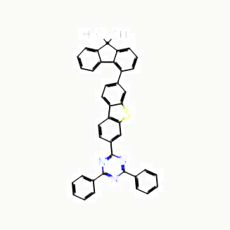 CC1(C)c2ccccc2-c2c(-c3ccc4c(c3)sc3cc(-c5nc(-c6ccccc6)nc(-c6ccccc6)n5)ccc34)cccc21